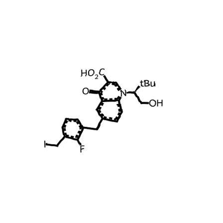 CC(C)(C)[C@@H](CO)n1cc(C(=O)O)c(=O)c2cc(Cc3cccc(CI)c3F)ccc21